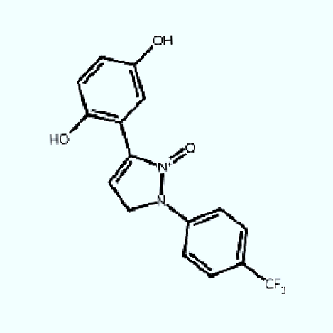 O=[N+]1C(c2cc(O)ccc2O)=CCN1c1ccc(C(F)(F)F)cc1